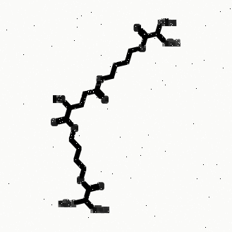 CCCCCCCCC(CCCCCC)C(=O)OCCCCOC(=O)CCC(O)C(=O)OCCCCOC(=O)C(CCCCCC)CCCCCCCC